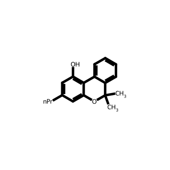 CCCc1cc(O)c2c(c1)OC(C)(C)c1ccccc1-2